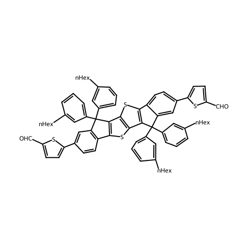 CCCCCCc1cccc(C2(c3cccc(CCCCCC)c3)c3cc(-c4ccc(C=O)s4)ccc3-c3sc4c5c(sc4c32)-c2ccc(-c3ccc(C=O)s3)cc2C5(c2cccc(CCCCCC)c2)c2cccc(CCCCCC)c2)c1